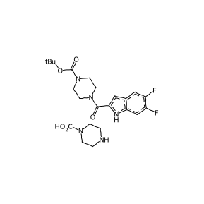 CC(C)(C)OC(=O)N1CCN(C(=O)c2cc3cc(F)c(F)cc3[nH]2)CC1.O=C(O)N1CCNCC1